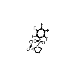 O=C(Cl)[C@H]1CCCN1S(=O)(=O)c1c(F)c(F)c(F)c(F)c1F